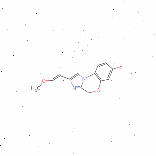 CO/C=C/c1cn2c(n1)COc1cc(Br)ccc1-2